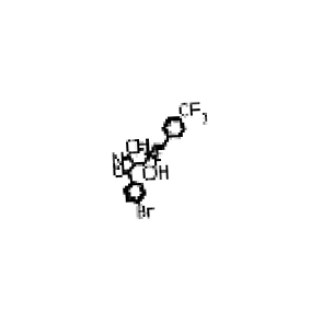 CC1=NOC(c2ccc(Br)cc2)C1C(O)C(F)(F)/C=C/c1ccc(C(F)(F)F)cc1